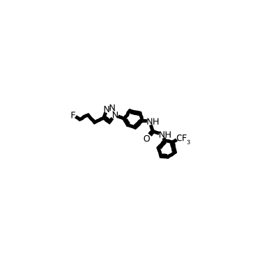 O=C(Nc1ccc(-n2cc(CCCF)nn2)cc1)Nc1ccccc1C(F)(F)F